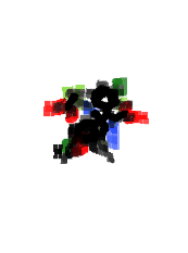 COC(=O)C(C)(C)CC1NC(C(=O)O)C(c2cccc(Cl)c2F)C1(C#N)c1ccc(Cl)cc1F.O=C(O)C(F)(F)F